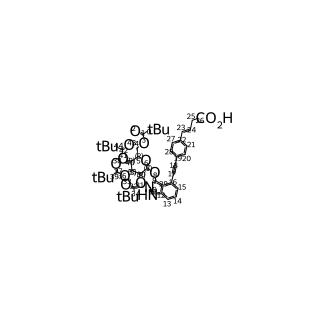 CC(C)(C)C(=O)OC[C@H]1O[C@@H](Oc2n[nH]c3cccc(C#Cc4ccc(C=CCC(=O)O)cc4)c23)[C@H](OC(=O)C(C)(C)C)[C@@H](OC(=O)C(C)(C)C)[C@@H]1OC(=O)C(C)(C)C